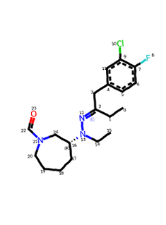 CC/C(Cc1ccc(F)c(Cl)c1)=N\N(CC)[C@@H]1CCCCN(C=O)C1